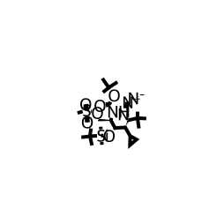 CC(C)(C)OC(=O)N[C@H](COS(C)(=O)=O)[C@H](O[Si](C)(C)C(C)(C)C)[C@@H](C1CC1)C(N=[N+]=[N-])C(C)(C)C